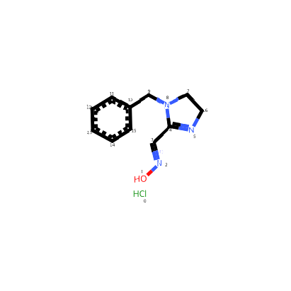 Cl.O/N=C/C1=NCCN1Cc1ccccc1